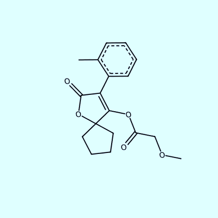 COCC(=O)OC1=C(c2ccccc2C)C(=O)OC12CCCC2